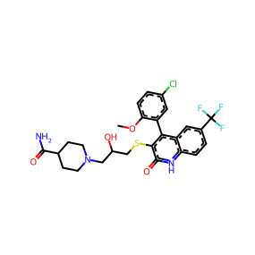 COc1ccc(Cl)cc1-c1c(SCC(O)CN2CCC(C(N)=O)CC2)c(=O)[nH]c2ccc(C(F)(F)F)cc12